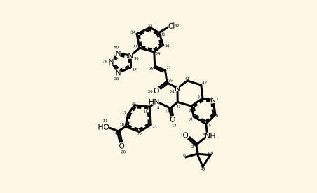 CC1(C(=O)Nc2cnc3c(c2)C(C(=O)Nc2ccc(C(=O)O)cc2)N(C(=O)/C=C/c2cc(Cl)ccc2-n2cnnn2)CC3)CC1